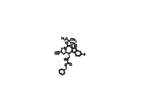 CC(C)(C)OC(=O)N1CC(O)CC1C(CNC(=O)OCc1ccccc1)c1c[nH]c2cc(F)ccc12